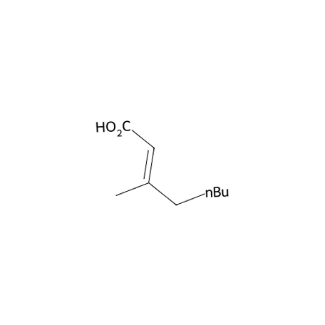 CCCCCC(C)=CC(=O)O